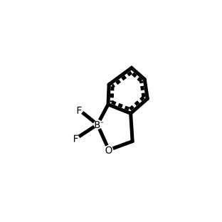 F[B-]1(F)OCc2ccccc21